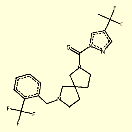 O=C(N1CCC2(CCN(Cc3ccccc3C(F)(F)F)C2)C1)n1cc(C(F)(F)F)cn1